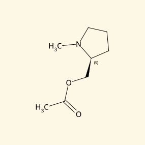 CC(=O)OC[C@@H]1CCCN1C